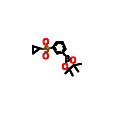 CC1(C)OB(c2cccc(S(=O)(=O)C3CC3)c2)OC1(C)C